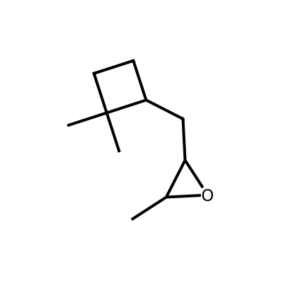 CC1OC1CC1CCC1(C)C